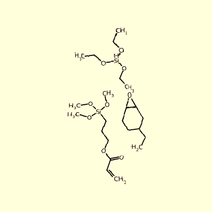 C=CC(=O)OCCC[Si](OC)(OC)OC.CCO[SiH](OCC)OCC.[CH2]CC1CCC2OC2C1